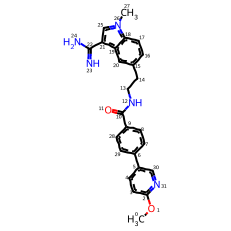 COc1ccc(-c2ccc(C(=O)NCCc3ccc4c(c3)c(C(=N)N)cn4C)cc2)cn1